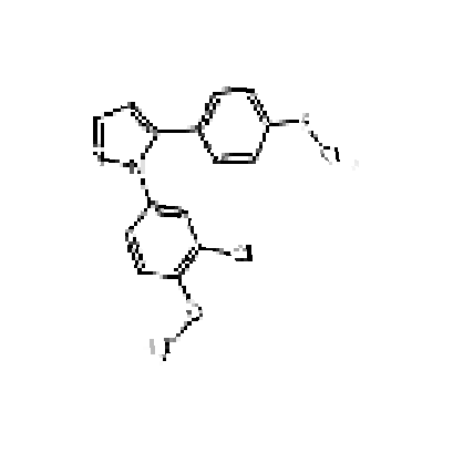 COc1ccc(-n2nccc2-c2ccc(SC)cc2)cc1Cl